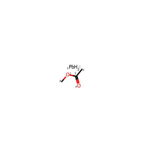 COC(C)=O.[PbH2]